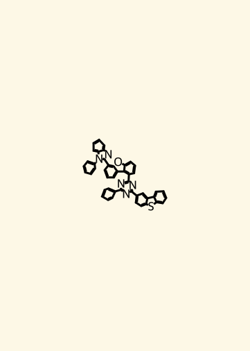 c1ccc(-c2nc(-c3ccc4sc5ccccc5c4c3)nc(-c3cccc4oc5c(-c6nc7ccccc7n6-c6ccccc6)cccc5c34)n2)cc1